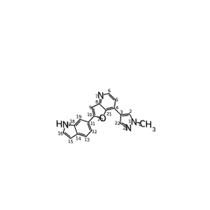 Cn1cc(-c2ccnc3cc(-c4ccc5cc[nH]c5c4)oc23)cn1